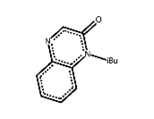 CCC(C)n1c(=O)cnc2ccccc21